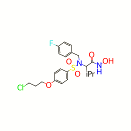 CC(C)C(C(=O)NO)N(Cc1ccc(F)cc1)S(=O)(=O)c1ccc(OCCCCl)cc1